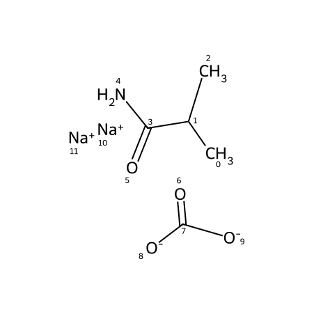 CC(C)C(N)=O.O=C([O-])[O-].[Na+].[Na+]